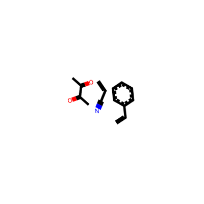 C=CC#N.C=Cc1ccccc1.CC(=O)C(C)=O